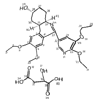 CCOc1cc2c(cc1OC)C(c1cnc(OCC)c(OCC)c1)=N[C@@H]1CC[C@@H](O)C[C@H]21.O=C(O)CC(O)C(=O)O